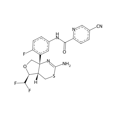 N#Cc1ccc(C(=O)Nc2ccc(F)c([C@]34CO[C@H](C(F)F)[C@H]3CSC(N)=N4)c2)nc1